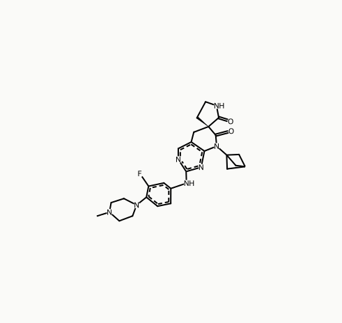 CN1CCN(c2ccc(Nc3ncc4c(n3)N(C35CC(C3)C5)C(=O)[C@]3(CCNC3=O)C4)cc2F)CC1